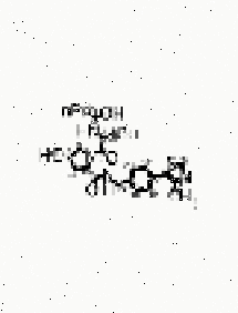 CCCC(O)N[C@H](C(=O)N1C[C@H](O)C[C@H]1C(=O)NCc1ccc(-c2scnc2C)cc1)C(C)(C)C